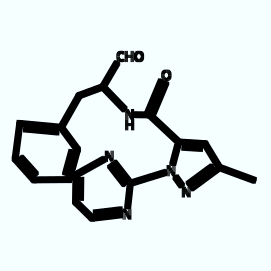 Cc1cc(C(=O)NC(C=O)Cc2ccccc2)n(-c2ncccn2)n1